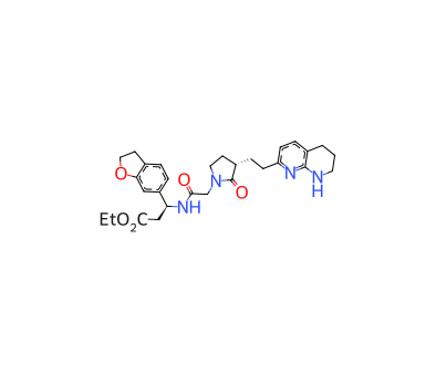 CCOC(=O)C[C@H](NC(=O)CN1CC[C@H](CCc2ccc3c(n2)NCCC3)C1=O)c1ccc2c(c1)OCC2